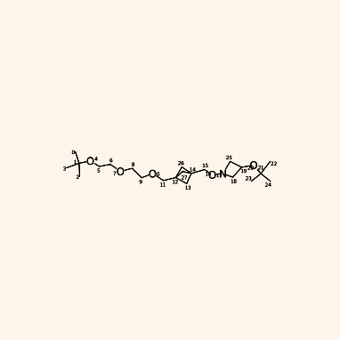 CC(C)(C)OCCOCCOCC12CC(CON3CC(OC(C)(C)C)C3)(C1)C2